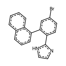 Brc1ccc(-c2ncc[nH]2)c(-c2cccc3ccccc23)c1